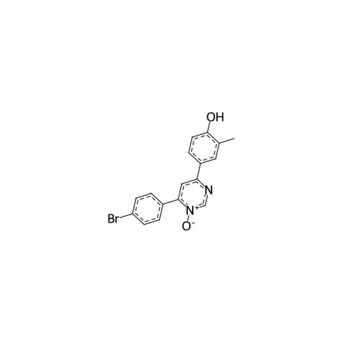 Cc1cc(-c2cc(-c3ccc(Br)cc3)[n+]([O-])cn2)ccc1O